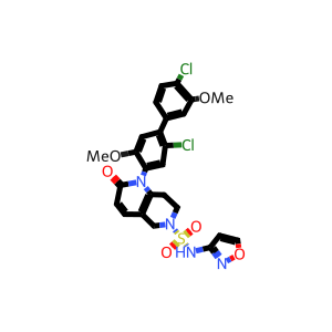 COc1cc(-c2cc(OC)c(-n3c4c(ccc3=O)CN(S(=O)(=O)Nc3ccon3)CC4)cc2Cl)ccc1Cl